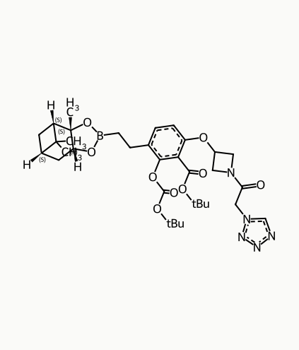 CC(C)(C)OC(=O)Oc1c(CCB2O[C@@H]3C[C@@H]4C[C@@H](C4(C)C)[C@]3(C)O2)ccc(OC2CN(C(=O)Cn3cnnn3)C2)c1C(=O)OC(C)(C)C